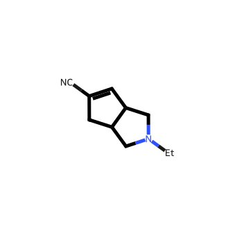 CCN1CC2C=C(C#N)CC2C1